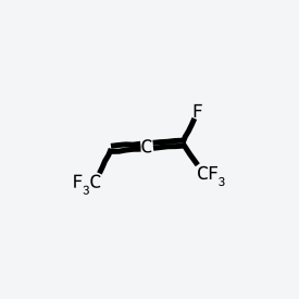 FC(=C=CC(F)(F)F)C(F)(F)F